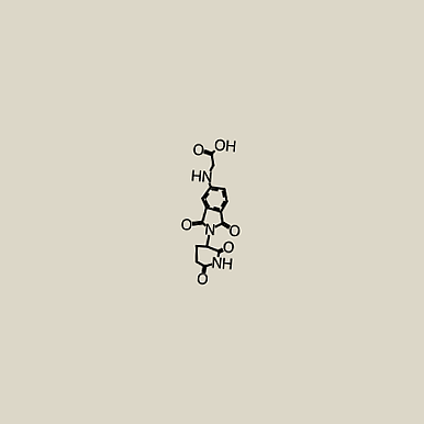 O=C(O)CNc1ccc2c(c1)C(=O)N(C1CCC(=O)NC1=O)C2=O